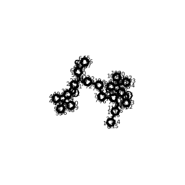 c1ccc(-c2ccc(N(c3ccc4sc5c(-c6cccc(-c7ccc(N(c8ccc9c(c8)oc8cc%10c(cc89)-c8ccccc8C%10(c8ccccc8)c8ccccc8)c8ccc9sc%10ccccc%10c9c8)cc7)c6)cccc5c4c3)c3cccc4oc5cc6c(cc5c34)-c3ccccc3C6(c3ccccc3)c3ccccc3)cc2)cc1